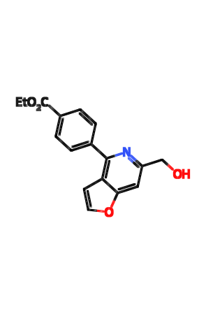 CCOC(=O)c1ccc(-c2nc(CO)cc3occc23)cc1